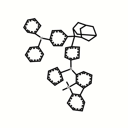 C[Si]1(C)c2ccccc2-c2cccc(N(c3ccccc3)c3ccc(C4(c5ccc(N(c6ccccc6)c6ccccc6)cc5)C5CC6CC(C5)CC4C6)cc3)c21